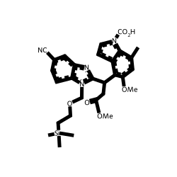 COC(=O)CC(c1c(OC)cc(C)c2c1ccn2C(=O)O)c1nc2cc(C#N)ccc2n1COCC[Si](C)(C)C